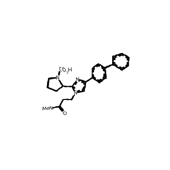 CNC(=O)CCn1cc(-c2ccc(-c3ccccc3)cc2)nc1C1CCCN1C(=O)O